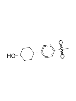 CS(=O)(=O)c1ccc([C@H]2CC[C@@H](O)CC2)cc1